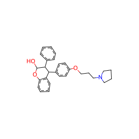 OC1Oc2ccccc2C(c2ccc(OCCCN3CCCC3)cc2)C1c1ccccc1